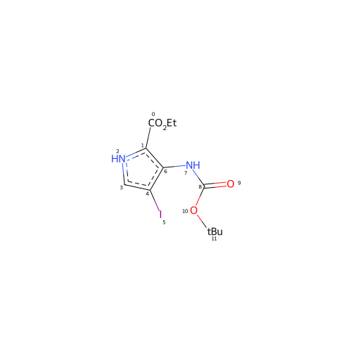 CCOC(=O)c1[nH]cc(I)c1NC(=O)OC(C)(C)C